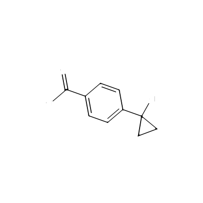 O=C(Cl)c1ccc(C2(Cl)CC2)cc1